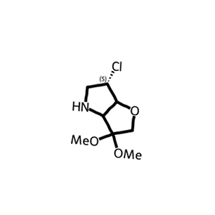 COC1(OC)COC2C1NC[C@@H]2Cl